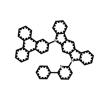 c1ccc(-c2cccc(-n3c4ccccc4c4cc5c6ccccc6n(-c6ccc7c8ccccc8c8ccccc8c7c6)c5cc43)n2)cc1